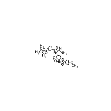 COc1ccc(S(=O)(=O)Nc2ccc(-c3nn([C@@H]4CCCN(C(=O)OC(C)(C)C)C4)c4ncnc(N)c34)c3c2OCO3)cc1